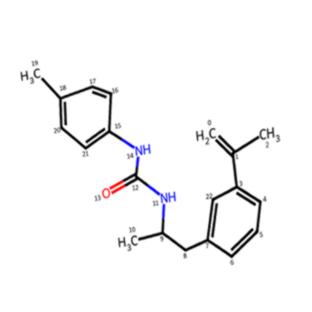 C=C(C)c1cccc(CC(C)NC(=O)Nc2ccc(C)cc2)c1